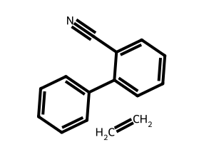 C=C.N#Cc1ccccc1-c1ccccc1